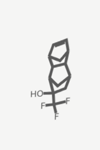 OC1(C(F)(F)F)CC2CC1C1C3C=CC(C3)C21